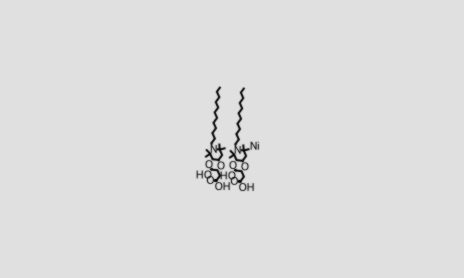 CCCCCCCCCCCCN1C(C)(C)CC(OC(CC(=O)O)C(=O)O)CC1(C)C.CCCCCCCCCCCCN1C(C)(C)CC(OC(CC(=O)O)C(=O)O)CC1(C)C.[Ni]